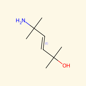 CC(C)(N)/C=C/C(C)(C)O